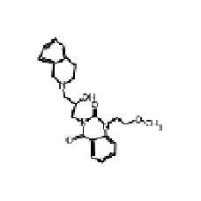 COCCn1c(=O)n(CC(O)CN2CCc3ccccc3C2)c(=O)c2ccccc21